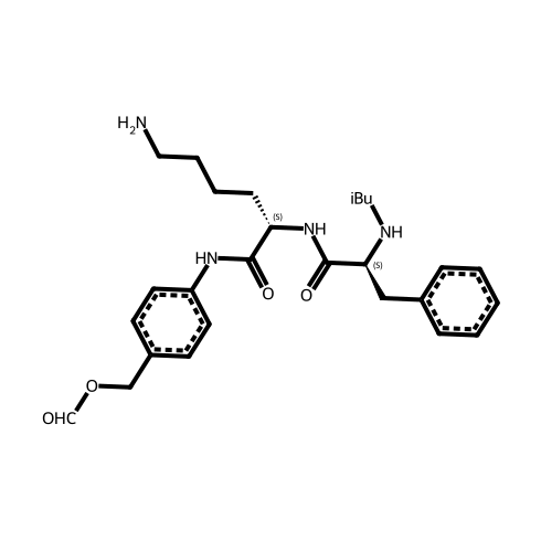 CCC(C)N[C@@H](Cc1ccccc1)C(=O)N[C@@H](CCCCN)C(=O)Nc1ccc(COC=O)cc1